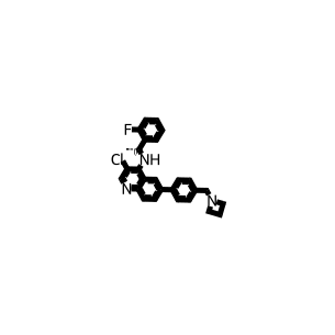 C[C@@H](Nc1c(Cl)cnc2ccc(-c3ccc(CN4CCC4)cc3)cc12)c1ccccc1F